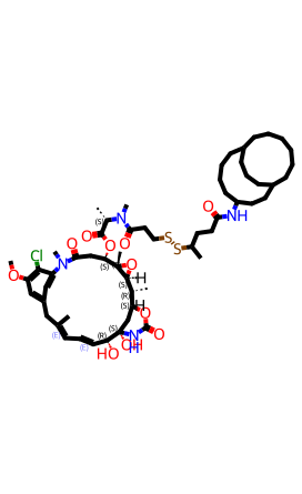 COc1cc2cc(c1Cl)N(C)C(=O)C[C@H](OC(=O)[C@H](C)N(C)C(=O)CCSSC(C)CCC(=O)NC1CCCCC3CCCCCCC(CCC3)CC1)[C@]1(C)O[C@H]1[C@H](C)[C@@H]1C[C@@](O)(NC(=O)O1)[C@H](O)/C=C/C=C(\C)C2